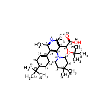 Cc1nc(C)c([C@H](OC(C)(C)C)C(=O)O)c(N2CCC(C)(C)CC2)c1C1=CCC(C(C)(C)C)CC1